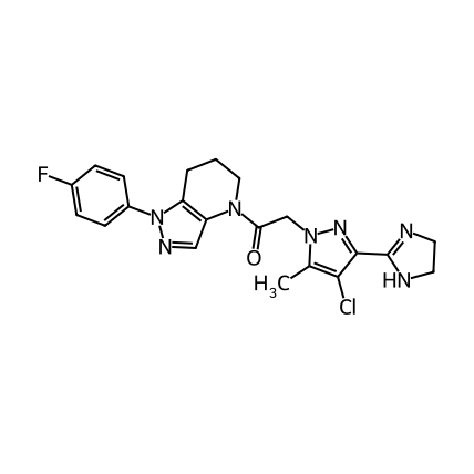 Cc1c(Cl)c(C2=NCCN2)nn1CC(=O)N1CCCc2c1cnn2-c1ccc(F)cc1